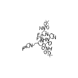 CC(C)(C)OC(=O)Nc1oc2cc(CCN3CC[C@@H](F)C3)cnc2c1C(=O)Nc1cnccc1N1CC(NC(=O)OC(C)(C)C)C[C@@H](C(F)(F)F)C1